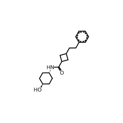 O=C(N[C@H]1CC[C@H](O)CC1)C1CC(CCc2ccccc2)C1